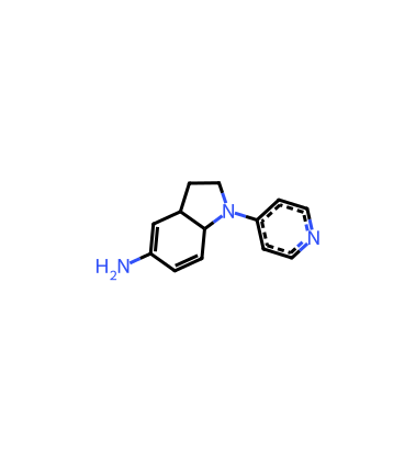 NC1=CC2CCN(c3ccncc3)C2C=C1